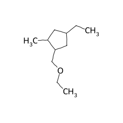 CCOCC1CC(CC)CC1C